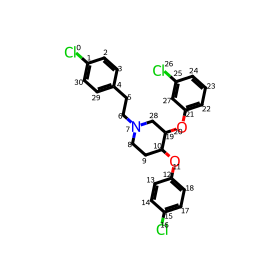 Clc1ccc(CCN2CCC(Oc3ccc(Cl)cc3)C(Oc3cccc(Cl)c3)C2)cc1